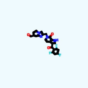 O=Cc1ccn2cc(Cn3ccc4c(C(=O)c5c(F)cc(F)cc5F)c[nH]c4c3=O)nc2c1